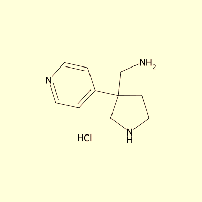 Cl.NCC1(c2ccncc2)CCNC1